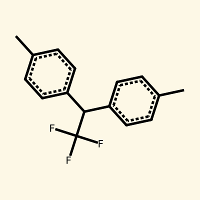 Cc1ccc(C(c2ccc(C)cc2)C(F)(F)F)cc1